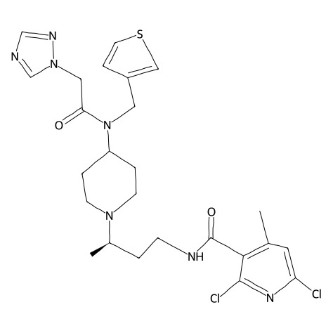 Cc1cc(Cl)nc(Cl)c1C(=O)NCC[C@@H](C)N1CCC(N(Cc2ccsc2)C(=O)Cn2cncn2)CC1